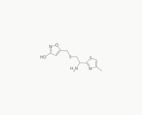 Cc1csc(C(N)CSCc2cc(O)no2)n1